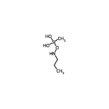 CCCNO[Si](C)(O)O